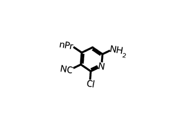 CCCc1cc(N)nc(Cl)c1C#N